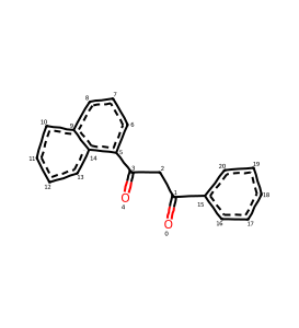 O=C(CC(=O)c1cccc2ccccc12)c1ccccc1